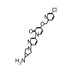 NC1C2CN(c3ccc(-n4ccc(OCc5ccc(Cl)cn5)cc4=O)cn3)CC12